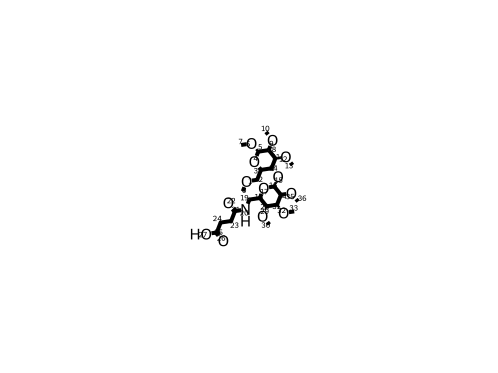 COCC1O[C@@H](OC)C(OC)[C@@H](OC)[C@@H]1O[C@@H]1OC(CNC(=O)CCC(=O)O)[C@@H](OC)[C@H](OC)C1OC